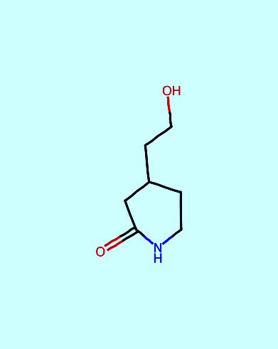 O=C1CC(CCO)CCN1